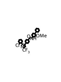 COc1cc(NC(=O)c2ccc(-c3cc(C(F)(F)F)nn3-c3ccccc3Cl)cc2)ccc1-c1ccccc1